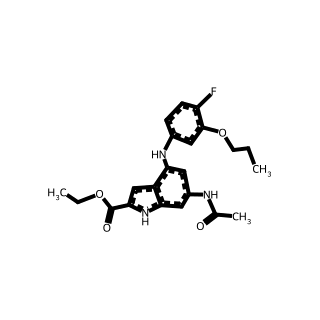 CCCOc1cc(Nc2cc(NC(C)=O)cc3[nH]c(C(=O)OCC)cc23)ccc1F